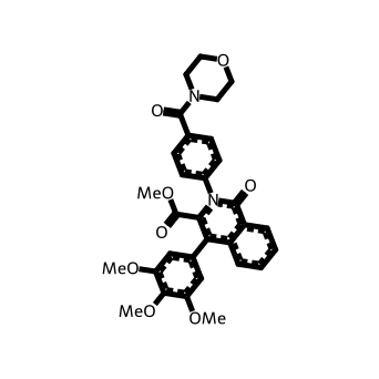 COC(=O)c1c(-c2cc(OC)c(OC)c(OC)c2)c2ccccc2c(=O)n1-c1ccc(C(=O)N2CCOCC2)cc1